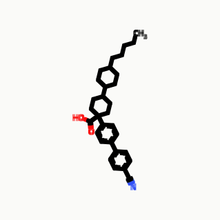 CCCCCC1CCC(C2CCC(C(=O)O)(c3ccc(-c4ccc(C#N)cc4)cc3)CC2)CC1